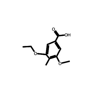 CCOc1cc(C(=O)O)cc(OC)c1C